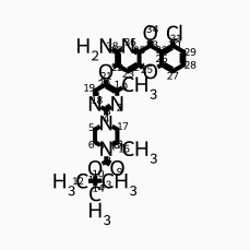 Cc1nc(N2CCN(C(=O)OC(C)(C)C)[C@@H](C)C2)ncc1Oc1cc2oc3cccc(Cl)c3c(=O)c2nc1N